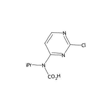 CC(C)N(C(=O)O)c1ccnc(Cl)n1